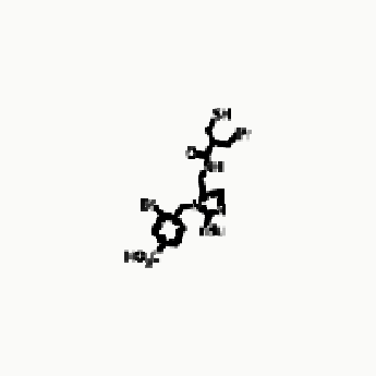 CCCCc1ncc(CNC(=O)C(CS)CC(C)C)n1Cc1ccc(C(=O)O)cc1Br